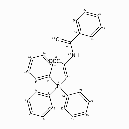 O=C([O-])C(=C[P+](c1ccccc1)(c1ccccc1)c1ccccc1)NC(=O)c1ccccc1